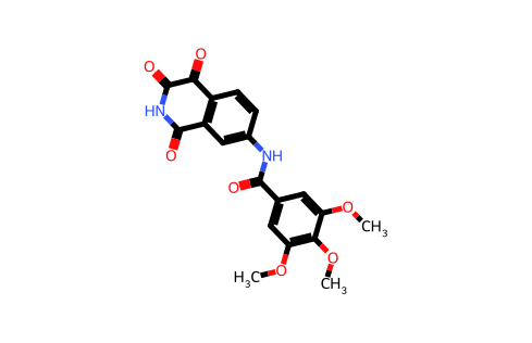 COc1cc(C(=O)Nc2ccc3c(c2)C(=O)NC(=O)C3=O)cc(OC)c1OC